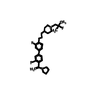 C=C(c1ccc(-c2ccc(CCCC3CCN(CC(C)(C)F)CC3)c(F)c2)cc1F)N1CCCC1